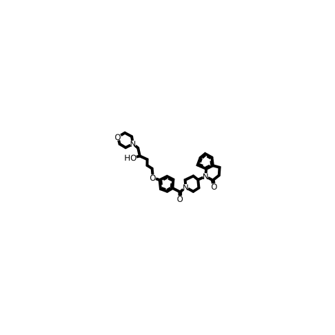 O=C(c1ccc(OCCCC(O)CN2CCOCC2)cc1)N1CCC(N2C(=O)CCc3ccccc32)CC1